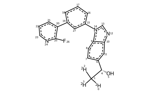 [2H]C([2H])([2H])[C@@H](O)c1ccc2c(c1)ncn2-c1cccc(-c2cccnc2F)c1